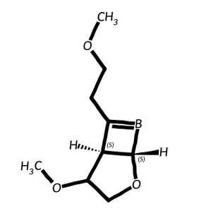 COCCC1=B[C@@H]2OCC(OC)[C@@H]12